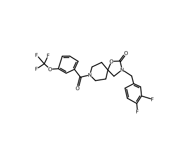 O=C1OC2(CCN(C(=O)c3cccc(OC(F)(F)F)c3)CC2)CN1Cc1ccc(F)c(F)c1